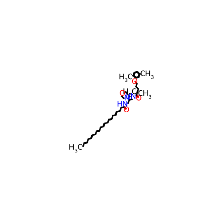 CCC=CCC=CCC=CCC=CCC=CCC=CCCC(=O)NCC(CNC(=O)C(C)(C)CCCOc1cc(C)ccc1C)N1CCOCC1